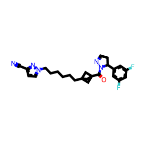 N#Cc1ccn(CCCCCCC23CC(C(=O)N4N=CCC4c4cc(F)cc(F)c4)(C2)C3)n1